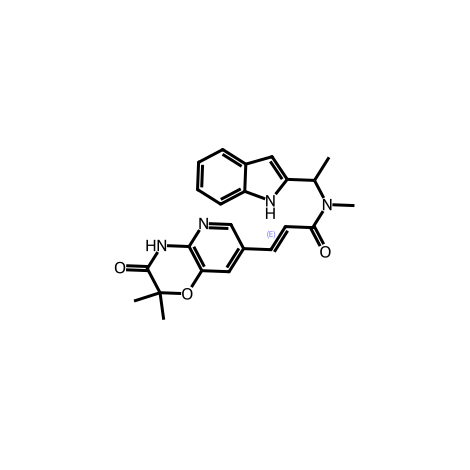 CC(c1cc2ccccc2[nH]1)N(C)C(=O)/C=C/c1cnc2c(c1)OC(C)(C)C(=O)N2